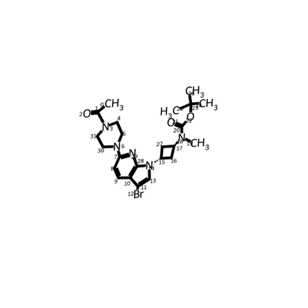 CC(=O)N1CCN(c2ccc3c(Br)cn([C@H]4C[C@H](N(C)C(=O)OC(C)(C)C)C4)c3n2)CC1